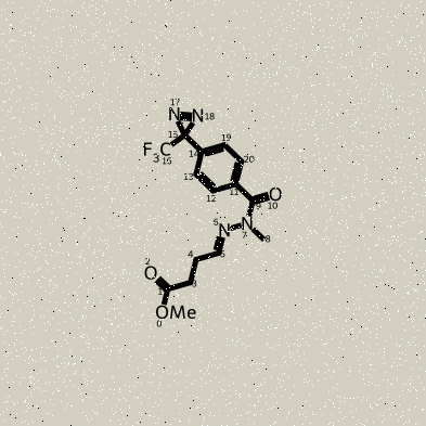 COC(=O)CCC=NN(C)C(=O)c1ccc(C2(C(F)(F)F)N=N2)cc1